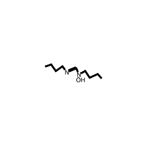 CCCCN=CN(O)CCCC